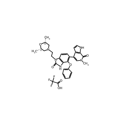 C[C@@H]1CN(CCn2c(=O)[nH]c3c(Oc4ccccc4)c(-c4cn(C)c(=O)c5[nH]ccc45)ccc32)C[C@H](C)O1.O=C(O)C(F)(F)F